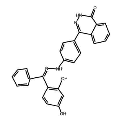 O=c1[nH]nc(-c2ccc(N/N=C(/c3ccccc3)c3ccc(O)cc3O)cc2)c2ccccc12